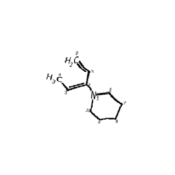 C=CC(=CC)N1CCCCC1